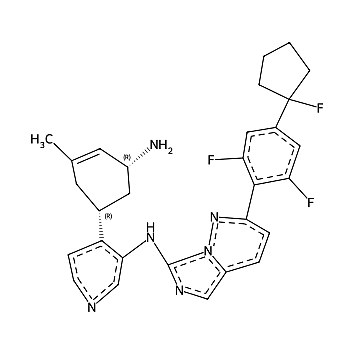 CC1=C[C@H](N)C[C@H](c2ccncc2Nc2ncc3ccc(-c4c(F)cc(C5(F)CCCC5)cc4F)nn23)C1